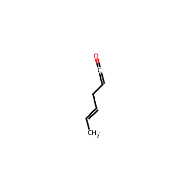 [CH2]C=CCC=C=O